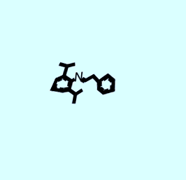 CC(C)c1cccc(C(C)C)c1N=CCc1ccccc1